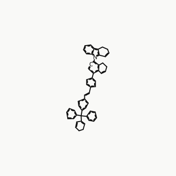 C1=CC(C(c2ccccc2)(c2ccccc2)c2ccc(/C=C/c3ccc(-c4ccc(-n5c6c(c7ccccc75)CCC=C6)c5c4C=CCC5)cc3)cc2)=CCC1